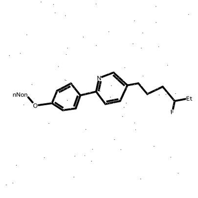 CCCCCCCCCOc1ccc(-c2ccc(CCCC(F)CC)cn2)cc1